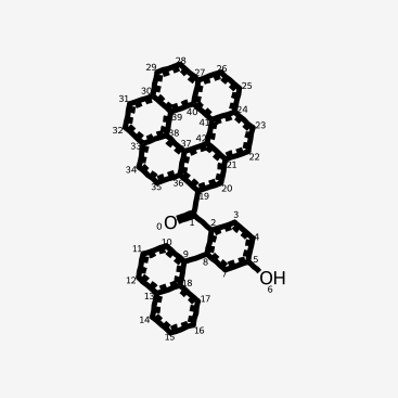 O=C(c1ccc(O)cc1-c1cccc2ccccc12)c1cc2ccc3ccc4ccc5ccc6ccc1c1c6c5c4c3c21